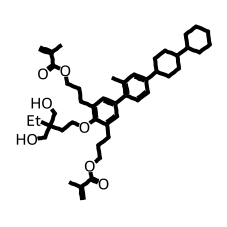 C=C(C)C(=O)OCCCc1cc(-c2ccc(C3CCC(C4CCCCC4)CC3)cc2C)cc(CCCOC(=O)C(=C)C)c1OCCC(CC)(CO)CO